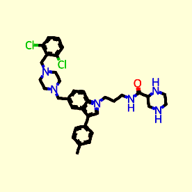 Cc1ccc(-c2cn(CCCNC(=O)C3CNCCN3)c3ccc(CN4CCN(Cc5c(Cl)cccc5Cl)CC4)cc23)cc1